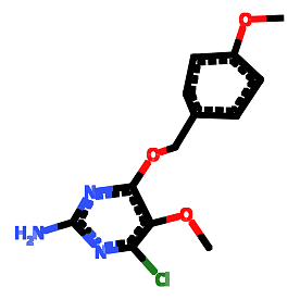 COc1ccc(COc2nc(N)nc(Cl)c2OC)cc1